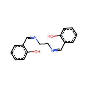 Oc1ccccc1/C=N\CC/N=C\c1ccccc1O